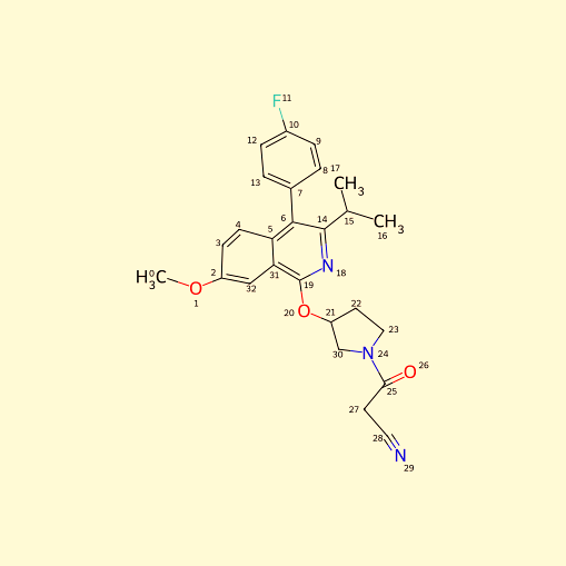 COc1ccc2c(-c3ccc(F)cc3)c(C(C)C)nc(OC3CCN(C(=O)CC#N)C3)c2c1